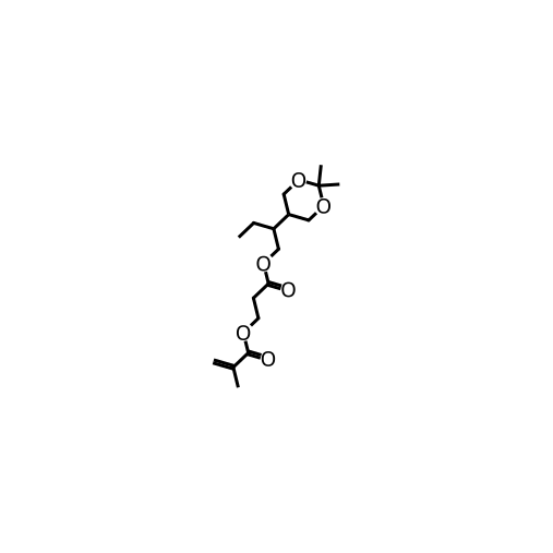 C=C(C)C(=O)OCCC(=O)OCC(CC)C1COC(C)(C)OC1